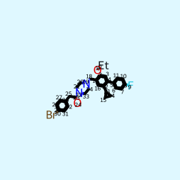 CCOc1cc(-c2ccc(F)cc2)c(C2CC2)cc1CN1CCN(C(=O)Cc2ccc(Br)cc2)CC1